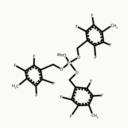 C[O][Zr]([O]Cc1c(F)c(F)c(C)c(F)c1F)([O]Cc1c(F)c(F)c(C)c(F)c1F)[O]Cc1c(F)c(F)c(C)c(F)c1F